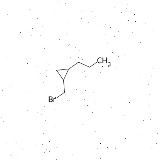 CCCC1CC1CBr